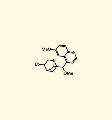 CCC1CN2CCC1CC2C(OC)c1ccnc2ccc(OC)cc12